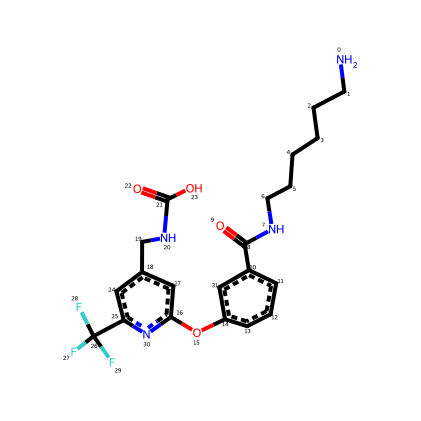 NCCCCCCNC(=O)c1cccc(Oc2cc(CNC(=O)O)cc(C(F)(F)F)n2)c1